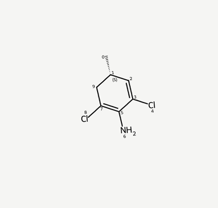 C[C@@H]1C=C(Cl)C(N)=C(Cl)C1